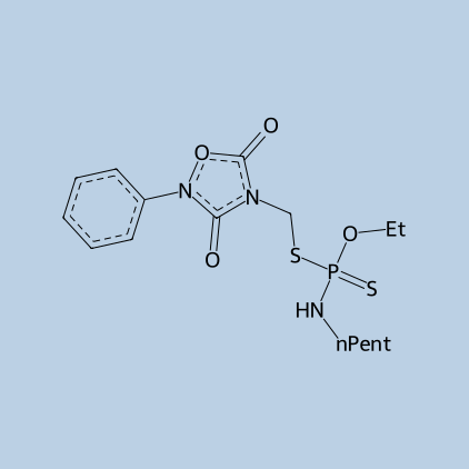 CCCCCNP(=S)(OCC)SCn1c(=O)on(-c2ccccc2)c1=O